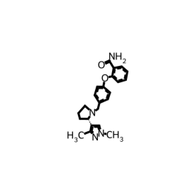 Cc1nn(C)cc1[C@@H]1CCCN1Cc1ccc(Oc2ccccc2C(N)=O)cc1